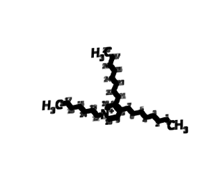 CCCCCCCCc1cc[n+](CCCCCCC)cc1CCCCCCCC